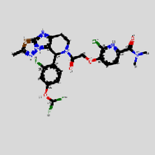 Cc1nn2c3c(nc2s1)CCN(C(=O)COc1ccc(C(=O)N(C)C)nc1Cl)C3c1ccc(OC(F)F)cc1F